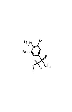 Nc1c(Cl)cc(C(F)(C(F)(F)F)C(F)(F)CF)cc1Br